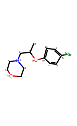 CC(CN1CCOCC1)Oc1ccc(Br)cc1